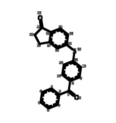 O=C(c1ccccc1)c1ccc(Sc2ccc3c(c2)CCC3=O)cc1